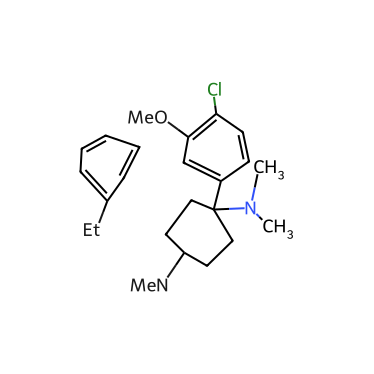 CCc1ccccc1.CNC1CCC(c2ccc(Cl)c(OC)c2)(N(C)C)CC1